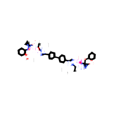 COc1ccccc1C(O)C1(C(=O)N[C@H](c2nc(-c3ccc(-c4ccc(-c5c[nH]c([C@@H](NC(=O)C6(C(O)c7ccccc7OC)CC6)C(C)(C)C)n5)cc4)cc3)c[nH]2)C(C)(C)C)CC1